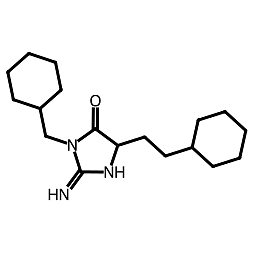 N=C1NC(CCC2CCCCC2)C(=O)N1CC1CCCCC1